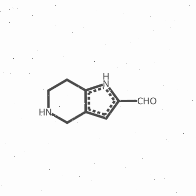 O=Cc1cc2c([nH]1)CCNC2